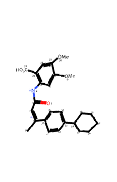 COc1cc(NC(=O)/C=C(/C)c2ccc(C3CCCCC3)cc2)c(C(=O)O)cc1OC